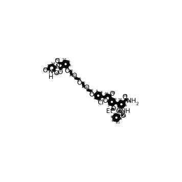 CCOc1cc2oc(-c3ccc(OCCOCCOCCOCCOc4cccc5c4C(=O)N(C4CCC(=O)NC4=O)C5=O)cc3Cl)cc(=O)c2cc1-c1cc(NS(=O)(=O)c2ccccc2)cc(C(N)=O)c1